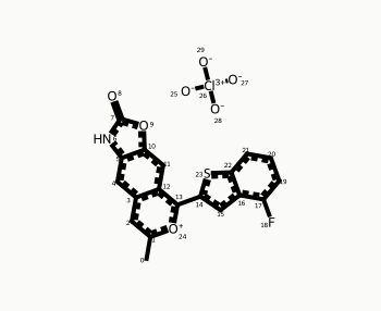 Cc1cc2cc3[nH]c(=O)oc3cc2c(-c2cc3c(F)cccc3s2)[o+]1.[O-][Cl+3]([O-])([O-])[O-]